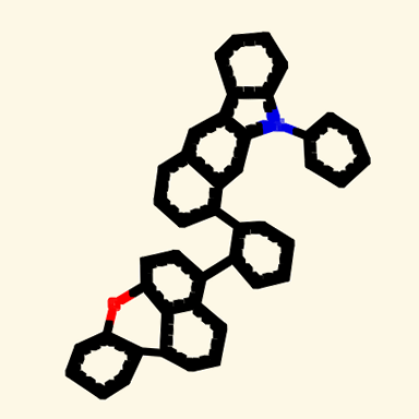 c1ccc(-n2c3ccccc3c3cc4cccc(-c5ccccc5-c5ccc6c7c(cccc57)-c5ccccc5O6)c4cc32)cc1